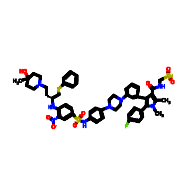 Cc1c(C(=O)NC[SH](=O)=O)c(-c2cccc(N3CCN(c4ccc(NS(=O)(=O)c5ccc(N[C@H](CCN6CCC(C)(O)CC6)CSc6ccccc6)c([N+](=O)[O-])c5)cc4)CC3)c2)c(-c2ccc(F)cc2)n1C